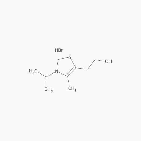 Br.CC1=C(CCO)SCN1C(C)C